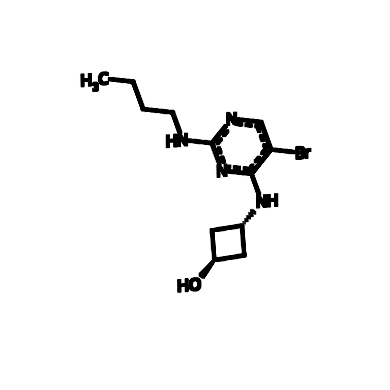 CCCCNc1ncc(Br)c(N[C@H]2C[C@H](O)C2)n1